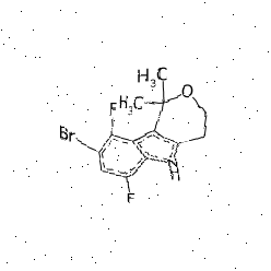 CC1(C)OCCc2[nH]c3c(F)cc(Br)c(F)c3c21